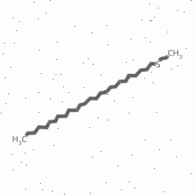 CC[CH]SCCCCCCCCCCCCCCCCCCCCCCCCCC